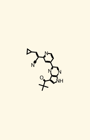 CC(C)(C)C(=O)c1c[nH]c2ncc(-c3ccnc(C(C#N)=CC4CC4)c3)nc12